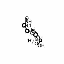 COc1cc(OC2(c3cccc(-c4cccc(NC=O)c4Cl)c3)CC2)c(Cl)cc1CN1CCC(C(=O)O)C1